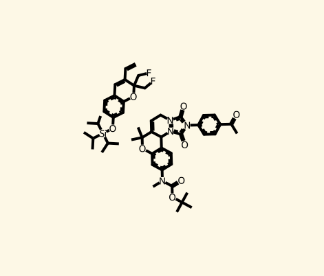 C=CC1=Cc2ccc(O[Si](C(C)C)(C(C)C)C(C)C)cc2OC1(CF)CF.CC(=O)c1ccc(-n2c(=O)n3n(c2=O)C2C(=CC3)C(C)(C)Oc3cc(N(C)C(=O)OC(C)(C)C)ccc32)cc1